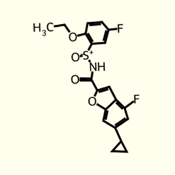 CCOc1ccc(F)cc1[S+]([O-])NC(=O)c1cc2c(F)cc(C3CC3)cc2o1